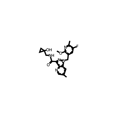 COc1nc(C)c(F)cc1Cn1nc(C(=O)NCC2(O)CC2)c2ncc(C)cc21